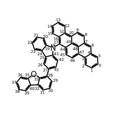 c1ccc2c(c1)cc1ccc3c4ccccc4c(-n4c5ccccc5c5cc(-c6cccc7c6oc6ccccc67)ccc54)c4ccc2c1c43